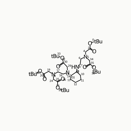 CC(C)(C)OC(=O)CN(CCN[C@H]1CCCC[C@@H]1N(CCN(CC(=O)OC(C)(C)C)CC(=O)OC(C)(C)C)CC(=O)OC(C)(C)C)CC(=O)OC(C)(C)C